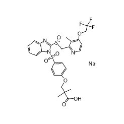 Cc1c(OCC(F)(F)F)ccnc1C[S+]([O-])c1nc2ccccc2n1S(=O)(=O)c1ccc(OCC(C)(C)C(=O)O)cc1.[Na]